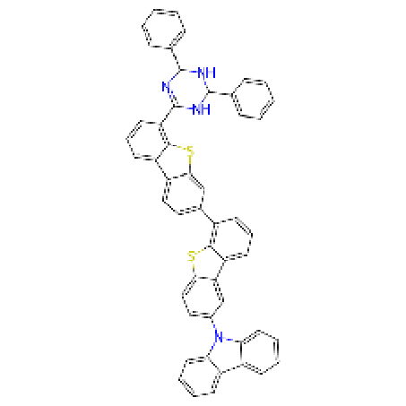 c1ccc(C2N=C(c3cccc4c3sc3cc(-c5cccc6c5sc5ccc(-n7c8ccccc8c8ccccc87)cc56)ccc34)NC(c3ccccc3)N2)cc1